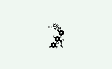 CN(C)S(=O)(=O)NCc1cccc(Oc2cc(F)cc(Nc3ccc(I)cc3F)c2C(N)=O)c1